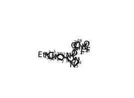 CCN1CCN(c2ccc(-c3cc4nccnc4c(OC[C@@H]4CN(C(=O)C(F)F)CCO4)n3)cc2)CC1